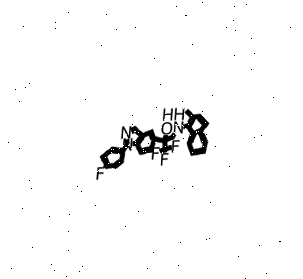 Cc1ccc2ccccc2c1NCC(O)(c1ccc2c(cnn2-c2ccc(F)cc2)c1)C(F)(F)F